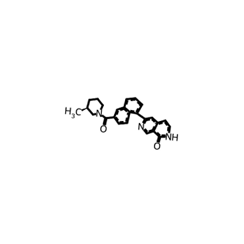 C[C@H]1CCCN(C(=O)c2ccc3c(-c4cc5cc[nH]c(=O)c5cn4)cccc3c2)C1